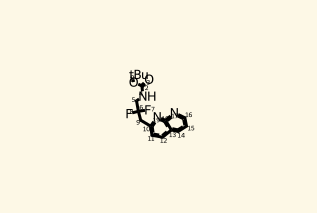 CC(C)(C)OC(=O)NCC(F)(F)Cc1ccc2cccnc2n1